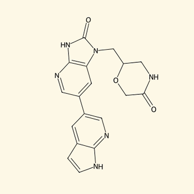 O=C1COC(Cn2c(=O)[nH]c3ncc(-c4cnc5[nH]ccc5c4)cc32)CN1